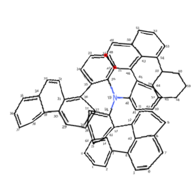 c1ccc(-c2cccc3cccc(-c4ccccc4N(c4ccccc4-c4cccc5c4ccc4ccccc45)c4ccccc4-c4cccc5cccc(C6CCCCC6)c45)c23)cc1